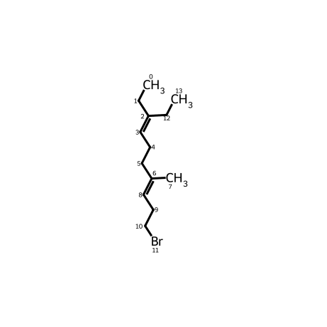 CCC(=CCC/C(C)=C/CCBr)CC